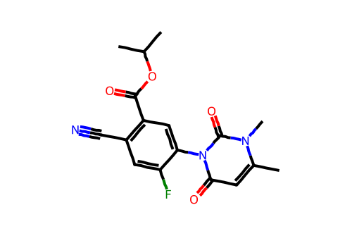 Cc1cc(=O)n(-c2cc(C(=O)OC(C)C)c(C#N)cc2F)c(=O)n1C